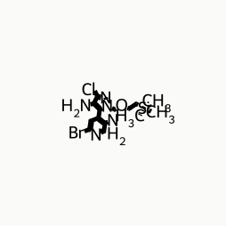 C[Si](C)(C)CCOCn1nc(Cl)c(N)c1-c1cc(Br)ncc1N